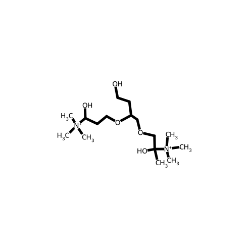 CC(O)(COCC(CCO)OCCC(O)[N+](C)(C)C)[N+](C)(C)C